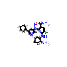 NC(=O)c1cc(F)c(NC2CCCCC2N)nc1Nc1cncc(C2=CCCCC2)c1